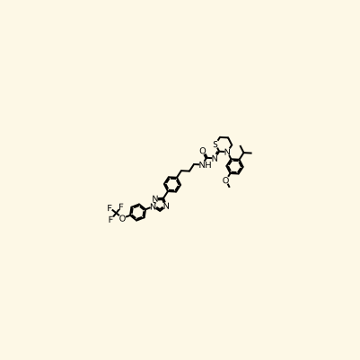 COc1ccc(C(C)C)c(N2CCCS/C2=N\C(=O)NCCCc2ccc(-c3ncn(-c4ccc(OC(F)(F)F)cc4)n3)cc2)c1